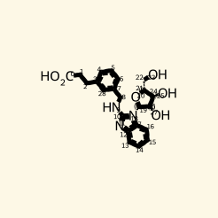 O=C(O)CCc1cccc(CNc2nc3ccccc3n2[C@@H]2O[C@H](CO)[C@@H](O)[C@H]2O)c1